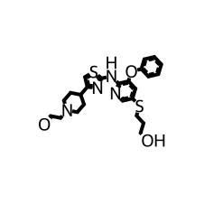 O=CCN1CCC(c2csc(Nc3ncc(SCCCO)cc3Oc3ccccc3)n2)CC1